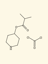 CC(C)C(=O)OC1CCNCC1.O=C(Cl)Cl